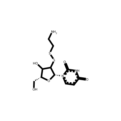 NCCSSC1C(O)[C@@H](CO)O[C@H]1n1ccc(=O)[nH]c1=O